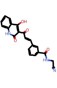 N#CCNC(=O)c1cccc(C=CC(=O)c2c(O)c3ccccc3[nH]c2=O)c1